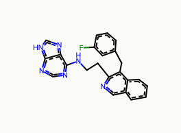 Fc1cccc(Cc2c(CCNc3ncnc4[nH]cnc34)ncc3ccccc23)c1